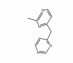 Cc1nccc(Cc2ccncn2)n1